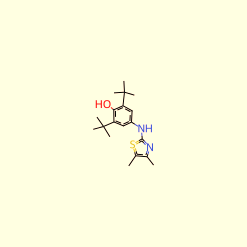 Cc1nc(Nc2cc(C(C)(C)C)c(O)c(C(C)(C)C)c2)sc1C